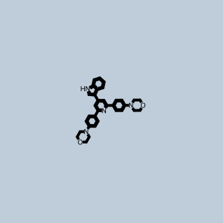 c1ccc2c(-c3cc(-c4ccc(N5CCOCC5)cc4)nc(-c4ccc(N5CCOCC5)cc4)c3)c[nH]c2c1